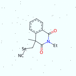 CCN1C(=O)c2ccccc2C(C)(C[Se]C#N)C1=O